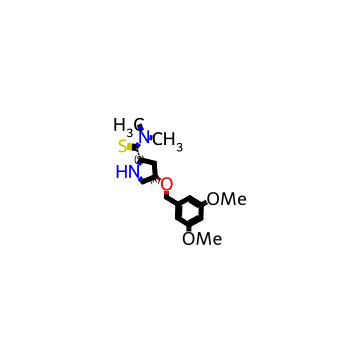 COc1cc(CO[C@H]2CN[C@H](C(=S)N(C)C)C2)cc(OC)c1